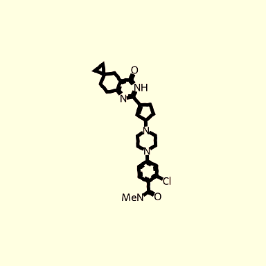 CNC(=O)c1ccc(N2CCN(C3C=C(c4nc5c(c(=O)[nH]4)CC4(CC5)CC4)CC3)CC2)cc1Cl